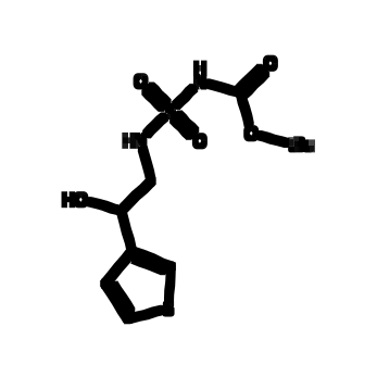 CC(C)(C)OC(=O)NS(=O)(=O)NCC(O)c1ccsc1